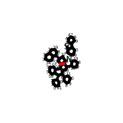 c1ccc(-c2c(-c3ccccc3)c3cc(-c4ccccc4N(c4cccc(-c5cccc6ccccc56)c4)c4ccc5c(c4)sc4ccccc45)ccc3c3ccccc23)cc1